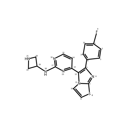 Fc1ccc(-c2nc3sccn3c2-c2ccnc(NC3CNC3)n2)cc1